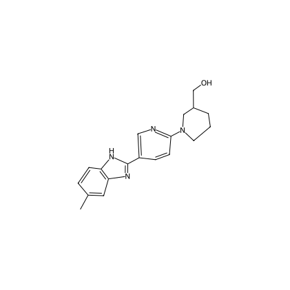 Cc1ccc2[nH]c(-c3ccc(N4CCCC(CO)C4)nc3)nc2c1